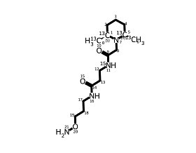 [13CH3][13C@@H]1CCC[13C@H]([13CH3])N1CC(=O)[15NH]CCC(=O)NCCCON